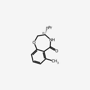 CCC[C@H]1COc2cccc(C)c2C(=O)N1